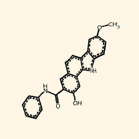 COc1ccc2[nH]c3c4cc(O)c(C(=O)Nc5ccccc5)cc4ccc3c2c1